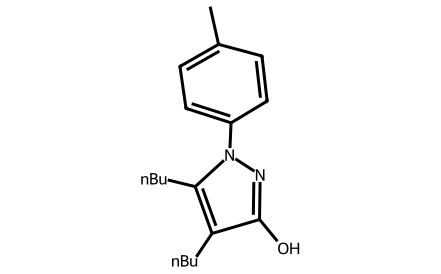 CCCCc1c(O)nn(-c2ccc(C)cc2)c1CCCC